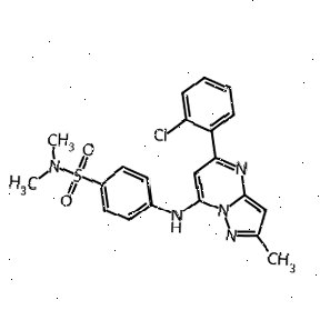 Cc1cc2nc(-c3ccccc3Cl)cc(Nc3ccc(S(=O)(=O)N(C)C)cc3)n2n1